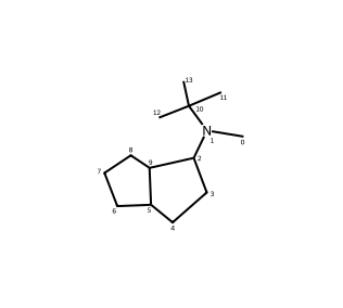 CN(C1CCC2CCCC21)C(C)(C)C